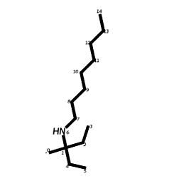 [CH2]C(CC)(CC)NCCCCCCCC